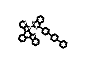 c1ccc(-c2ccc(-c3ccc(-c4nc(-n5c6ncccc6c6c7ccccc7c7c8ccccc8sc7c65)nc5ccccc45)cc3)cc2)cc1